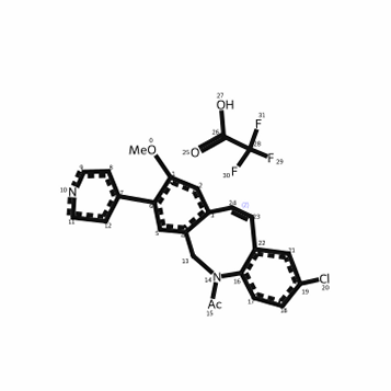 COc1cc2c(cc1-c1ccncc1)CN(C(C)=O)c1ccc(Cl)cc1/C=C\2.O=C(O)C(F)(F)F